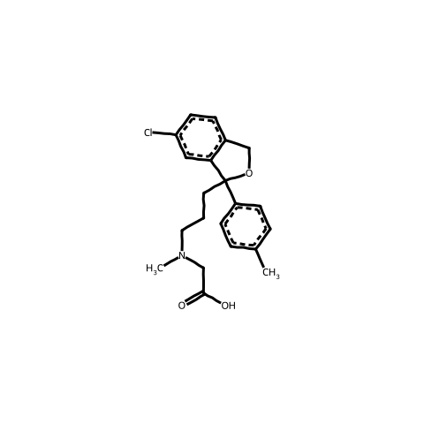 Cc1ccc(C2(CCCN(C)CC(=O)O)OCc3ccc(Cl)cc32)cc1